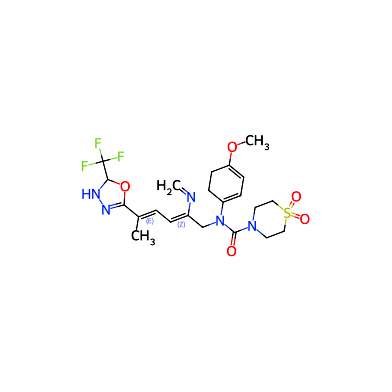 C=N/C(=C\C=C(/C)C1=NNC(C(F)(F)F)O1)CN(C(=O)N1CCS(=O)(=O)CC1)C1=CC=C(OC)CC1